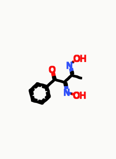 CC(=NO)C(=NO)C(=O)c1ccccc1